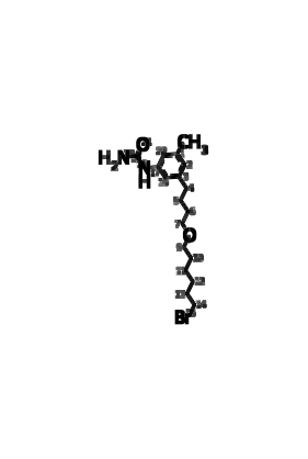 Cc1cc(CCCCOCCCCCCBr)cc(NC(N)=O)c1